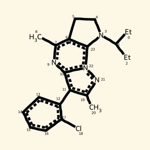 CCC(CC)N1CCc2c(C)nc3c(-c4ccccc4Cl)c(C)nn3c21